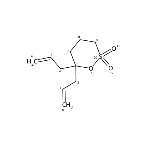 C=CCC1(CC=C)CCCS(=O)(=O)O1